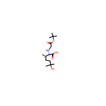 C[C@H](CCC(C)(C)O)[C@H](NCC(=O)OC(C)(C)C)C(=O)O